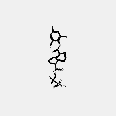 O=C(OCC(F)(F)S(=O)(=O)O)c1cccc2c(C(=O)Oc3c(I)cc(I)cc3I)cccc12